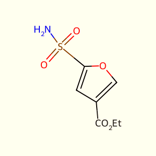 CCOC(=O)c1coc(S(N)(=O)=O)c1